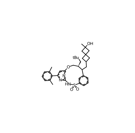 Cc1cccc(C)c1-c1cc2nc(n1)NS(=O)(=O)c1cccc(c1)C(CC1CC3(C1)CC(C)(O)C3)[C@H](CC(C)(C)C)CO2